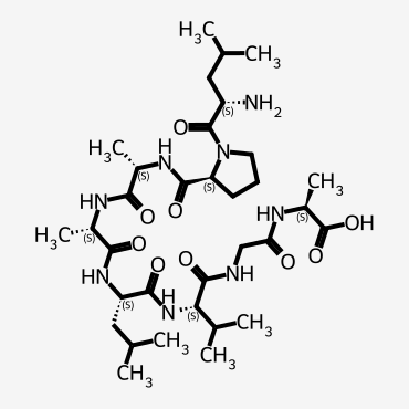 CC(C)C[C@H](NC(=O)[C@H](C)NC(=O)[C@H](C)NC(=O)[C@@H]1CCCN1C(=O)[C@@H](N)CC(C)C)C(=O)N[C@H](C(=O)NCC(=O)N[C@@H](C)C(=O)O)C(C)C